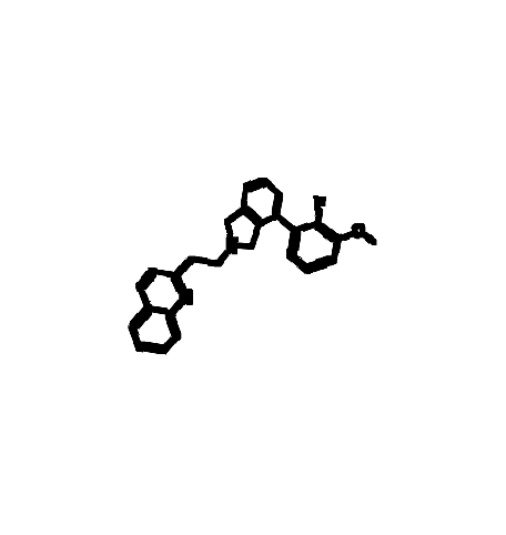 COc1cccc(-c2cccc3c2CN(CCc2ccc4ccccc4n2)C3)c1F